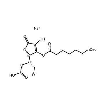 CCCCCCCCCCCCCCCC(=O)OC1=C(O)C(=O)O[C@@H]1[C@H](C[O-])OS(=O)O.[Na+]